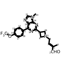 C/C(C=O)=C\CN1CC(c2nc(-c3ccc(OC(F)(F)F)cc3)c3ncn(C)c3n2)C1